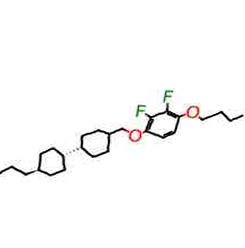 CCCCOc1ccc(OCC2CCC([C@H]3CC[C@H](CCC)CC3)CC2)c(F)c1F